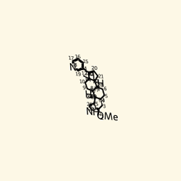 COC(=O)C[C@@H]1CC[C@@H]2[C@H](CC[C@]3(C)C(c4cccnc4)=CC[C@@H]23)[C@@]1(C)CCN